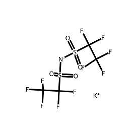 O=S(=O)([N-]S(=O)(=O)C(F)(F)C(F)(F)F)C(F)(F)C(F)(F)F.[K+]